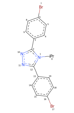 CC(C)n1c(-c2ccc(Br)cc2)nnc1-c1ccc(Br)cc1